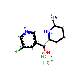 CCC[C@H]1CCC[C@H](C(O)c2cncc(F)c2)N1.Cl.Cl